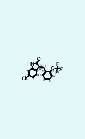 O=C1Nc2cc(Cl)ccc2/C1=C\c1ccccc1OC(F)(F)F